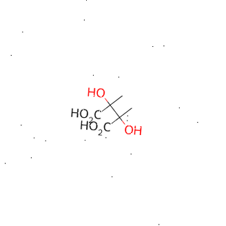 CC(O)(C(=O)O)C(C)(O)C(=O)O